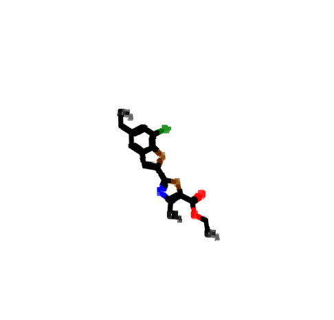 CCOC(=O)c1sc(-c2cc3cc(CC)cc(Br)c3s2)nc1C